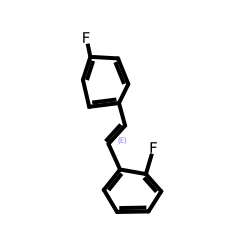 Fc1ccc(/C=C/c2ccccc2F)cc1